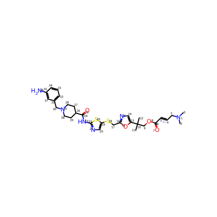 CN(C)C/C=C/C(=O)OCC(C)(C)c1cnc(CSc2cnc(NC(=O)C3CCN(Cc4cccc(N)c4)CC3)s2)o1